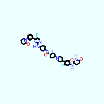 O=C1CC[C@H](Nc2ccc(C3CCN([C@H]4CC[C@H](C(=O)NC5CCC(Nc6ncc(F)c(-c7cccc(N8CCCCC8=O)c7)n6)CC5)CC4)CC3)c(F)c2)C(=O)N1